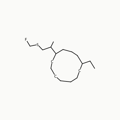 CCC1CCCCCCCC(C(C)CSCF)CCC1